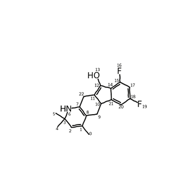 CC1=CC(C)(C)NC2=C1CC1C(=C(O)c3c(F)cc(F)cc31)C2